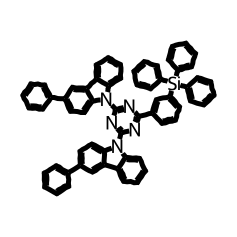 c1ccc(-c2ccc3c(c2)c2ccccc2n3-c2nc(-c3cccc([Si](c4ccccc4)(c4ccccc4)c4ccccc4)c3)nc(-n3c4ccccc4c4cc(-c5ccccc5)ccc43)n2)cc1